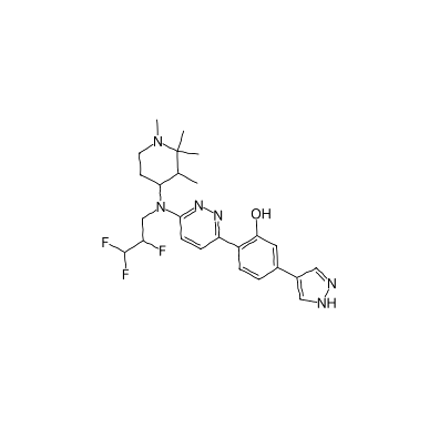 CC1C(N(CC(F)C(F)F)c2ccc(-c3ccc(-c4cn[nH]c4)cc3O)nn2)CCN(C)C1(C)C